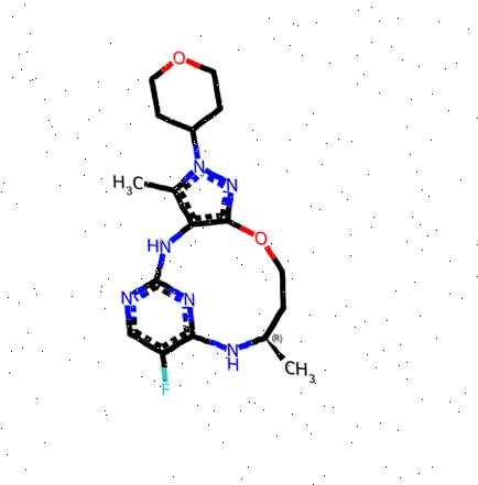 Cc1c2c(nn1C1CCOCC1)OCC[C@@H](C)Nc1nc(ncc1F)N2